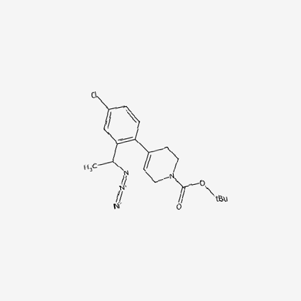 CC(N=[N+]=[N-])c1cc(Cl)ccc1C1=CCN(C(=O)OC(C)(C)C)CC1